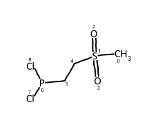 CS(=O)(=O)CCP(Cl)Cl